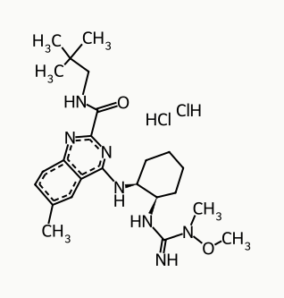 CON(C)C(=N)N[C@@H]1CCCC[C@@H]1Nc1nc(C(=O)NCC(C)(C)C)nc2ccc(C)cc12.Cl.Cl